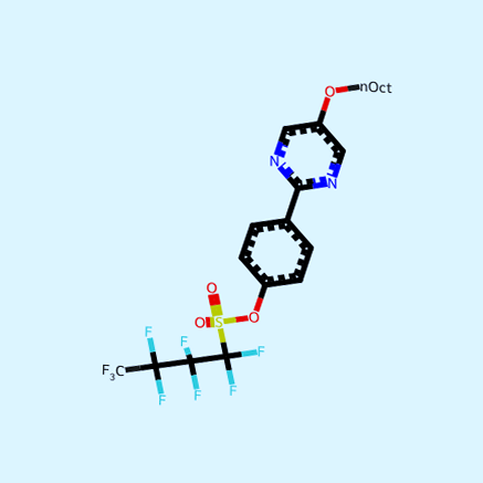 CCCCCCCCOc1cnc(-c2ccc(OS(=O)(=O)C(F)(F)C(F)(F)C(F)(F)C(F)(F)F)cc2)nc1